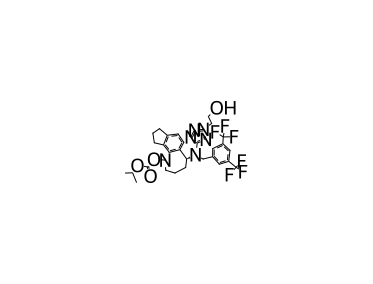 CC(C)OC(=O)ON1CCC[C@H](N(Cc2cc(C(F)(F)F)cc(C(F)(F)F)c2)c2nnn(CCO)n2)c2ccc3c(c21)CCC3